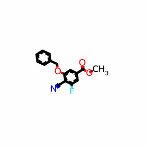 COC(=O)c1cc(F)c(C#N)c(OCc2ccccc2)c1